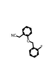 N#CCc1ccccc1OCc1ccccc1F